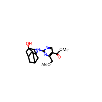 COCc1nc(NC23CC4CC(CC(O)(C4)C2)C3)ncc1C(=O)OC